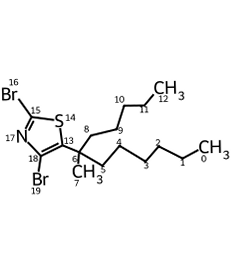 CCCCCCC(C)(CCCCC)c1sc(Br)nc1Br